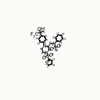 C[C@@](O)(c1ccc(N2CCN(S(=O)(=O)c3cccs3)C[C@@H]2CN(c2ccccc2)S(C)(=O)=O)cc1)C(F)(F)F